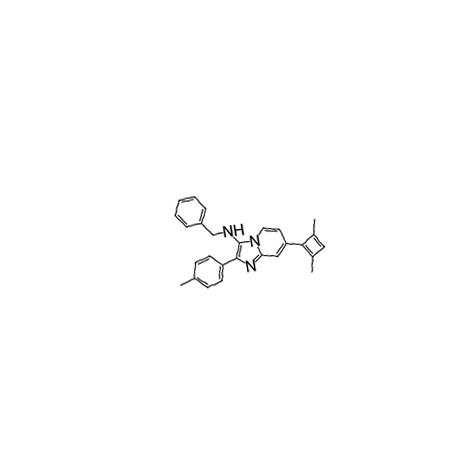 CC1=CC(C)=C1c1ccn2c(NCc3ccccc3)c(-c3ccc(C)cc3)nc2c1